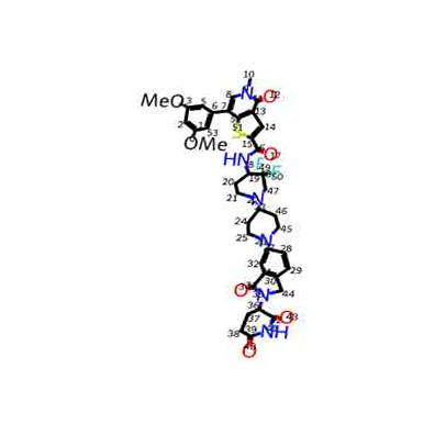 COc1cc(OC)cc(-c2cn(C)c(=O)c3cc(C(=O)NC4CCN(C5CCN(c6ccc7c(c6)C(=O)N(C6CCC(=O)NC6=O)C7)CC5)CC4(F)F)sc23)c1